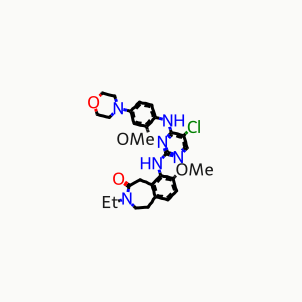 CCN1CCc2ccc(OC)c(Nc3ncc(Cl)c(Nc4ccc(N5CCOCC5)cc4OC)n3)c2CC1=O